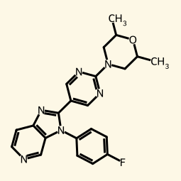 CC1CN(c2ncc(-c3nc4ccncc4n3-c3ccc(F)cc3)cn2)CC(C)O1